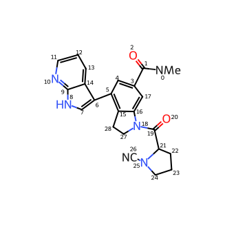 CNC(=O)c1cc(-c2c[nH]c3ncccc23)c2c(c1)N(C(=O)C1CCCN1C#N)CC2